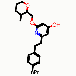 CCCc1ccc(CCc2cc(O)cc(OCC3OCCCC3C)n2)cc1